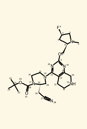 CN1C[C@H](F)C[C@@H]1COc1nc2c(c(N3CCN(C(=O)OC(C)(C)C)[C@@H](CC#N)C3)n1)CCNC2